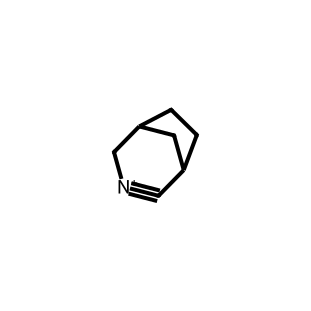 C1#[N+]CC2CCC1C2